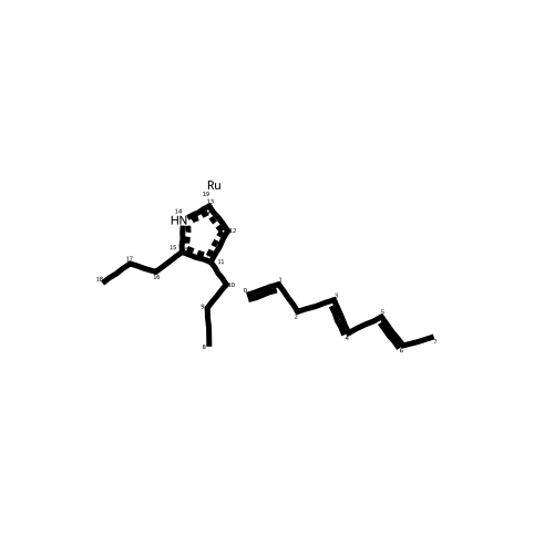 C=CCC=CC=CC.CCCc1cc[nH]c1CCC.[Ru]